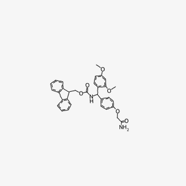 COc1ccc(C(NC(=O)OCC2c3ccccc3-c3ccccc32)c2ccc(OCC(N)=O)cc2)c(OC)c1